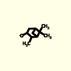 CC1C([O])CC2CC1C2(C)C